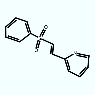 O=S(=O)(/C=C/c1ccccn1)c1ccccc1